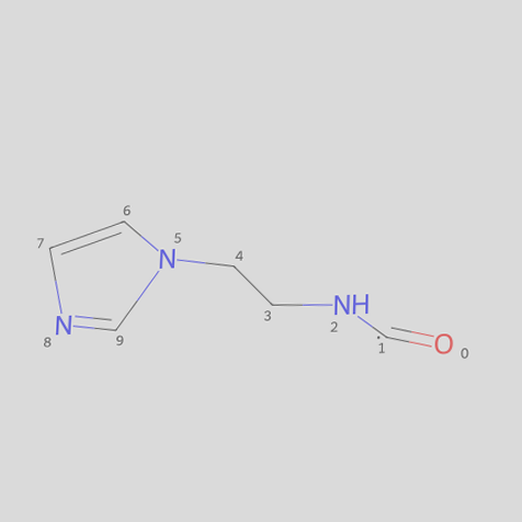 O=[C]NCCn1ccnc1